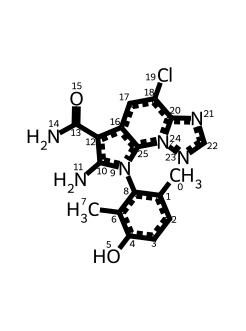 Cc1ccc(O)c(C)c1-n1c(N)c(C(N)=O)c2cc(Cl)c3ncnn3c21